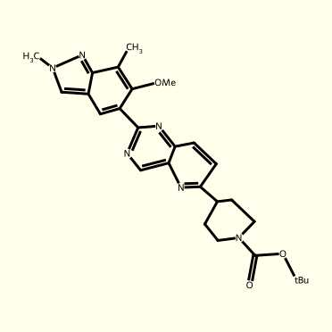 COc1c(-c2ncc3nc(C4CCN(C(=O)OC(C)(C)C)CC4)ccc3n2)cc2cn(C)nc2c1C